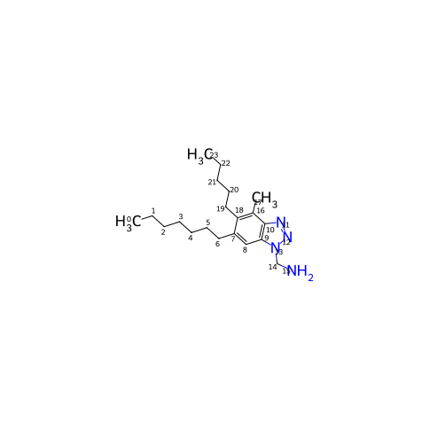 CCCCCCCc1cc2c(nnn2CN)c(C)c1CCCCC